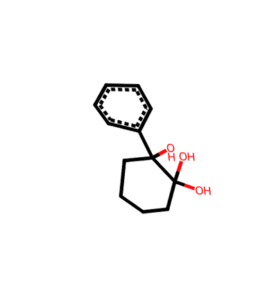 OC1(O)CCCCC1(O)c1ccccc1